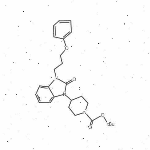 CC(C)(C)OC(=O)N1CCC(n2c(=O)n(CCCOc3ccccc3)c3ccccc32)CC1